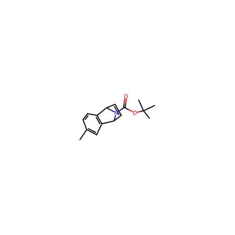 Cc1ccc2c(c1)C1C=CC2N1C(=O)OC(C)(C)C